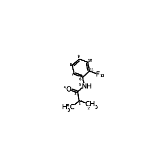 C[C](C)C(=O)Nc1ccccc1F